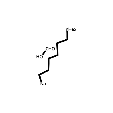 CCCCCCCCCCC[CH2][Na].O=CO